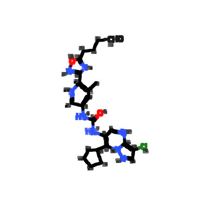 Cc1cc(NC(=O)Nc2cnc3c(Cl)cnn3c2C2CCCC2)cnc1-c1noc(CCCC=O)n1